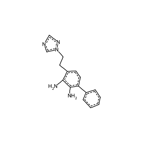 Nc1c(CCn2cncn2)ccc(-c2ccccc2)c1N